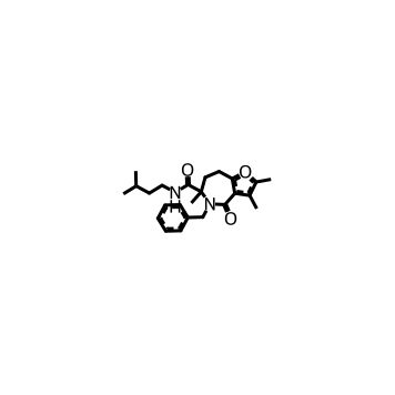 Cc1oc2c(c1C)C(=O)N(Cc1ccccc1)C(C)(C(=O)NCCC(C)C)CC2